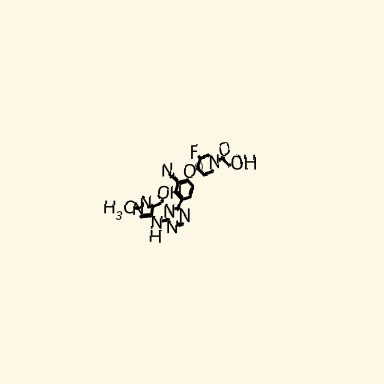 Cn1cc(Nc2ncnc(-c3ccc(O[C@H]4CCN(C(=O)CO)CC4F)c(C#N)c3)n2)c(CO)n1